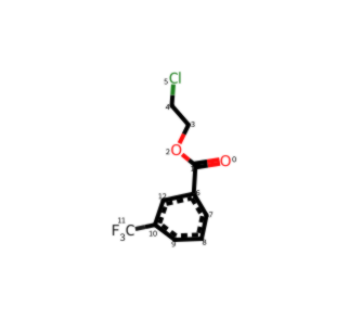 O=C(OCCCl)c1cccc(C(F)(F)F)c1